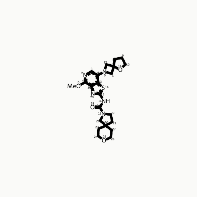 COc1ncc(N2CC3(CCCO3)C2)c2sc(NC(=O)N3CCC4(CCOCC4)C3)nc12